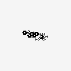 CC12CC[C@H]3C(CCC4C[C@@H](O[C@H]5O[C@@H](CO)[C@H](O)[C@@H](O)C5O)CC[C@@]43C)[C@@H]1CCCN2C(=O)C1CCCCC1